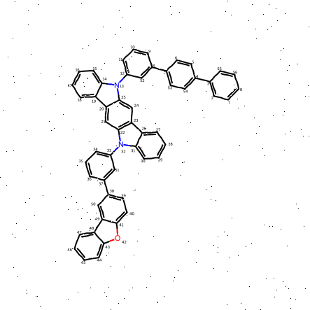 c1ccc(-c2ccc(-c3cccc(-n4c5ccccc5c5cc6c(cc54)c4ccccc4n6-c4cccc(-c5ccc6oc7ccccc7c6c5)c4)c3)cc2)cc1